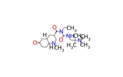 CCN(C(=O)NCC(C)(C)N(C)C)C(=O)[C@@H]1C[C@@H]2CC(=O)CC[C@H]2N(C)C1